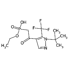 CCOP(=O)(O)CC(=O)c1cnn(C(C)(C)C)c1C(F)(F)F